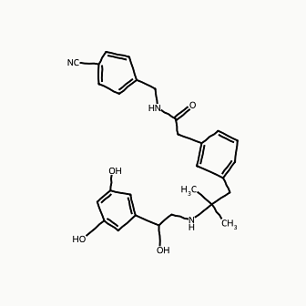 CC(C)(Cc1cccc(CC(=O)NCc2ccc(C#N)cc2)c1)NCC(O)c1cc(O)cc(O)c1